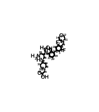 C=Nc1c(-c2cc(F)c(CN3CCOCC3)c(F)c2)cccc1N(C)C(CN)CNC1CCN(CC(=O)O)CC1